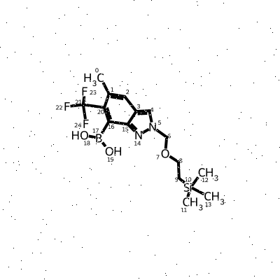 Cc1cc2cn(COCC[Si](C)(C)C)nc2c(B(O)O)c1C(F)(F)F